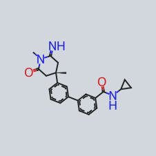 CN1C(=N)C[C@](C)(c2cccc(-c3cccc(C(=O)NC4CC4)c3)c2)CC1=O